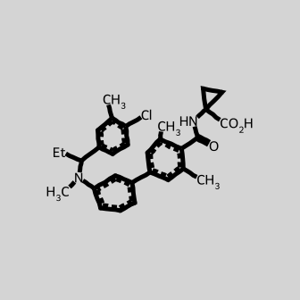 CCC(c1ccc(Cl)c(C)c1)N(C)c1cccc(-c2cc(C)c(C(=O)NC3(C(=O)O)CC3)c(C)c2)c1